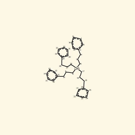 c1ccc(CC[CH2][Sn]([CH2]CCc2ccccc2)([CH2]CCc2ccccc2)[CH2]CCc2ccccc2)cc1